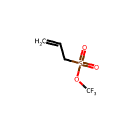 C=CCS(=O)(=O)OC(F)(F)F